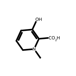 CN1CC=CC(O)=C1C(=O)O